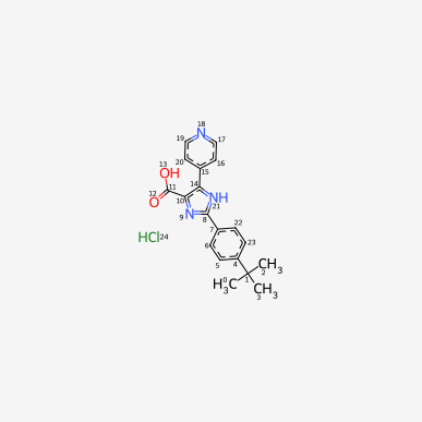 CC(C)(C)c1ccc(-c2nc(C(=O)O)c(-c3ccncc3)[nH]2)cc1.Cl